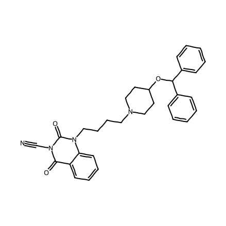 N#Cn1c(=O)c2ccccc2n(CCCCN2CCC(OC(c3ccccc3)c3ccccc3)CC2)c1=O